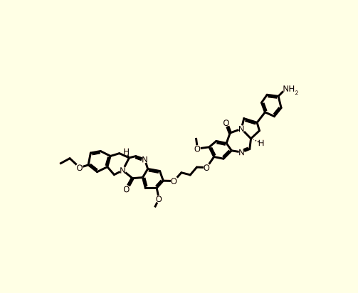 CCOc1ccc2c(c1)CN1C(=O)c3cc(OC)c(OCCCOc4cc5c(cc4OC)C(=O)N4C=C(c6ccc(N)cc6)C[C@H]4C=N5)cc3N=C[C@@H]1C2